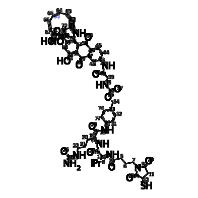 CC(C)[C@H](NC(=O)CCCN1C(=O)CC(S)C1=O)C(=O)N[C@@H](CCCNC(N)=O)C(=O)Nc1ccc(COC(=O)NCC(=O)Nc2ccc3c(c2)C(=O)c2c(O)cc4c(c2C3=O)N[C@H]2C#C/C=C\C#C[C@@H](O)[C@@]43O[C@@]23[C@@H](C)O)cc1